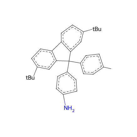 Cc1ccc(C2(c3ccc(N)cc3)c3cc(C(C)(C)C)ccc3-c3ccc(C(C)(C)C)cc32)cc1